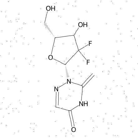 C=C1NC(=O)C=NN1[C@@H]1O[C@H](CO)C(O)C1(F)F